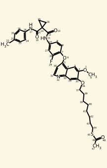 COc1cc2c(Oc3ccc(NC(=O)C4(C(=O)Nc5ccc(C)cc5)CC4)cc3F)ccnc2cc1OCCCCCCCCSC(C)=O